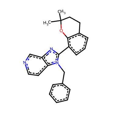 CC1(C)CCc2cccc(-c3nc4cnccc4n3Cc3ccccc3)c2O1